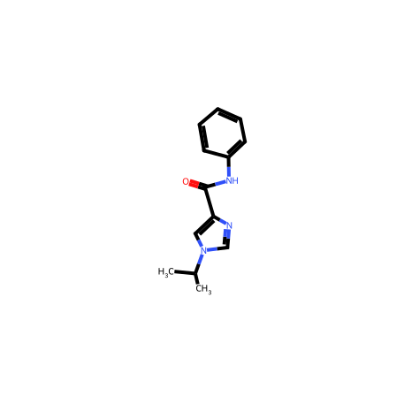 CC(C)n1cnc(C(=O)Nc2ccccc2)c1